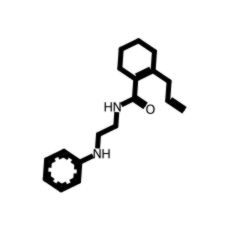 C=CCC1=C(C(=O)NCCNc2ccccc2)CCCC1